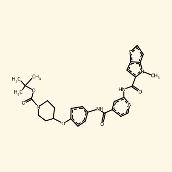 Cn1c(C(=O)Nc2cc(C(=O)Nc3ccc(OC4CCN(C(=O)OC(C)(C)C)CC4)cc3)ccn2)cc2sccc21